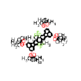 CC1(C)OB(c2cc3c4c(cc(B5OC(C)(C)C(C)(C)O5)cc4c2)-c2cc4c(cc2-3)C(C)(C(F)(F)F)c2cc3c(cc2C4(C)C(F)(F)F)-c2cc(B4OC(C)(C)C(C)(C)O4)cc4cc(B5OC(C)(C)C(C)(C)O5)cc-3c24)OC1(C)C